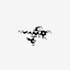 CCCOCNc1nc(CN)nc(Nc2c(C)cc(C)cc2C)c1N=Nc1n[nH]cc1C#N